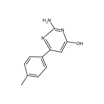 Cc1ccc(-c2cc(O)nc(N)n2)cc1